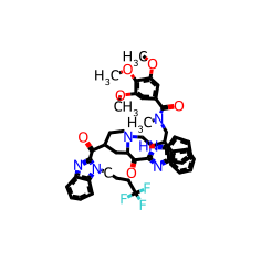 COc1cc(C(=O)N(C)CC(CCN2CCC(C(=O)c3nc4ccccc4n3CCCC(F)(F)F)CC2C(=O)c2nc3ccccc3[nH]2)c2ccccc2)cc(OC)c1OC